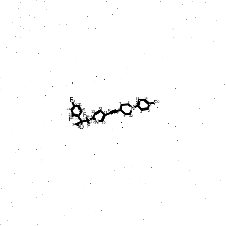 Fc1ccc(N2CCC(C#Cc3ccc(C(F)(F)C4(c5ccc(F)cc5F)CO4)nc3)CC2)cc1